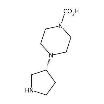 O=C(O)N1CCN([C@@H]2CCNC2)CC1